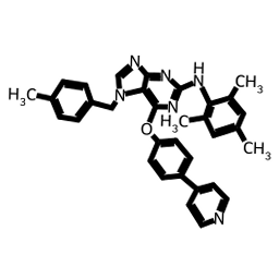 Cc1ccc(Cn2cnc3nc(Nc4c(C)cc(C)cc4C)nc(Oc4ccc(-c5ccncc5)cc4)c32)cc1